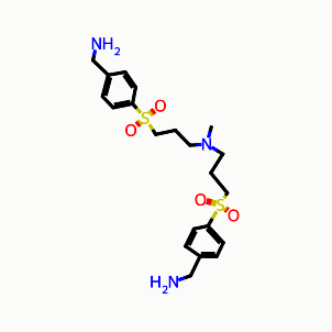 CN(CCCS(=O)(=O)c1ccc(CN)cc1)CCCS(=O)(=O)c1ccc(CN)cc1